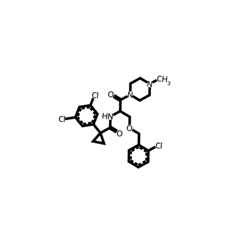 CN1CCN(C(=O)C(COCc2ccccc2Cl)NC(=O)C2(c3cc(Cl)cc(Cl)c3)CC2)CC1